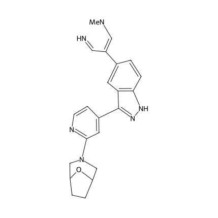 CN/C=C(\C=N)c1ccc2[nH]nc(-c3ccnc(N4CC5CCC(C4)O5)c3)c2c1